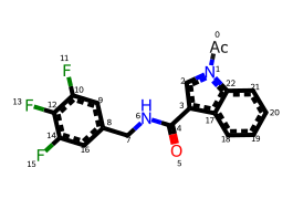 CC(=O)n1cc(C(=O)NCc2cc(F)c(F)c(F)c2)c2ccccc21